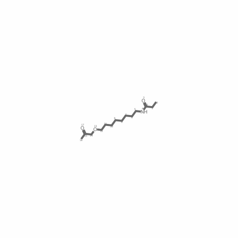 CCC(=O)NCCCCCCCCOCC(C)=O